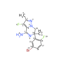 Cc1nn2c(c1F)C(N)=NC(C)(c1cc(Br)ccc1F)C2